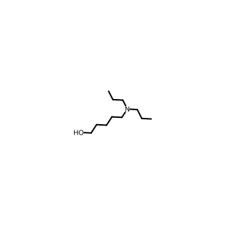 CCCN(CCC)CCCCCO